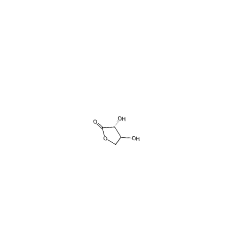 O=C1OCC(O)[C@H]1O